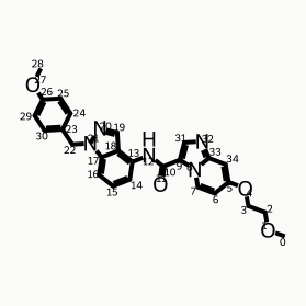 COCCOc1ccn2c(C(=O)Nc3cccc4c3cnn4Cc3ccc(OC)cc3)cnc2c1